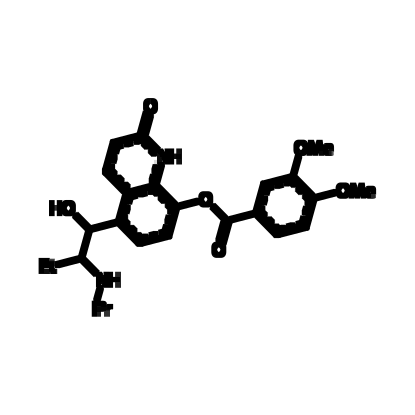 CCC(NC(C)C)C(O)c1ccc(OC(=O)c2ccc(OC)c(OC)c2)c2[nH]c(=O)ccc12